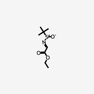 CCOC(=O)C=N[S+]([O-])C(C)(C)C